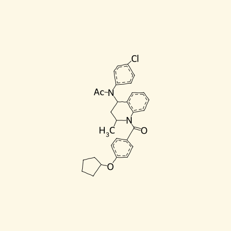 CC(=O)N(c1ccc(Cl)cc1)C1CC(C)N(C(=O)c2ccc(OC3CCCC3)cc2)c2ccccc21